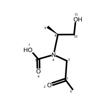 CC(=O)CN(C(=O)O)[C@@H](C)CO